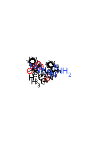 CCC[C@H](CCO[P@](=O)(N[C@@H](C)C(N)=O)Oc1ccccc1)n1c(COCC)nc2c(N)nc3ccccc3c21